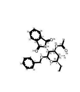 CC[C@H]1OC(OCc2ccccc2)[C@H](N2C(=O)c3ccccc3C2=O)[C@@H](OC(C)=O)[C@@H]1C